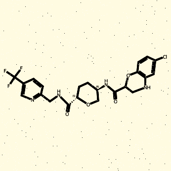 O=C(N[C@@H]1CC[C@@H](C(=O)NCc2ccc(C(F)(F)F)cn2)OC1)C1CNc2cc(Cl)ccc2O1